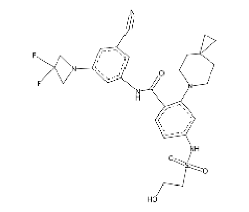 N#Cc1cc(NC(=O)c2ccc(NS(=O)(=O)CCO)cc2N2CCC3(CC2)CC3)cc(N2CC(F)(F)C2)c1